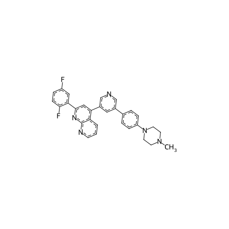 CN1CCN(c2ccc(-c3cncc(-c4cc(-c5cc(F)ccc5F)nc5ncccc45)c3)cc2)CC1